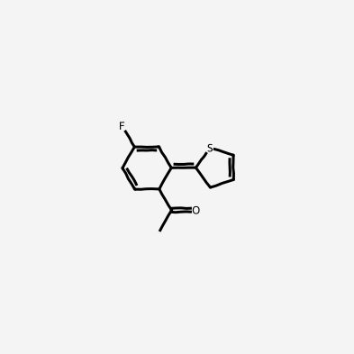 CC(=O)C1C=CC(F)=C/C1=C1/CC=CS1